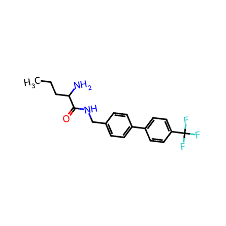 CCCC(N)C(=O)NCc1ccc(-c2ccc(C(F)(F)F)cc2)cc1